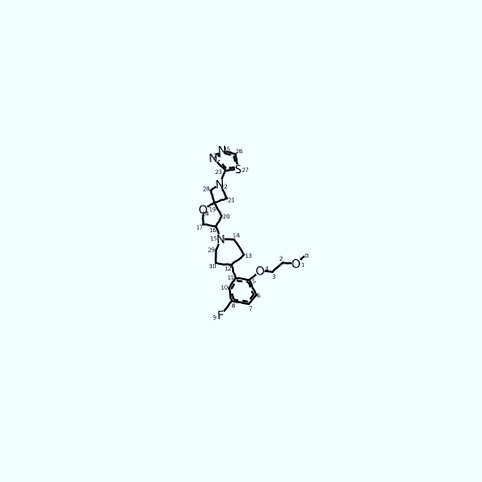 COCCOc1ccc(F)cc1C1CCN(C2COC3(C2)CN(c2nncs2)C3)CC1